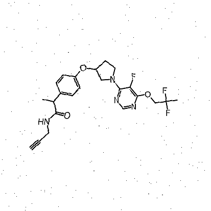 C#CCNC(=O)C(C)c1ccc(OC2CCN(c3ncnc(OCC(C)(F)F)c3F)C2)cc1